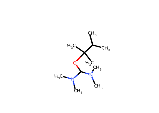 CC(C)C(C)(C)OC(N(C)C)N(C)C